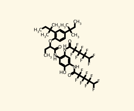 CCC(Oc1ccc(C(C)(C)CC)cc1C(C)(C)CC)C(=O)Nc1cc(O)c(NC(=O)C(F)(F)C(F)(F)C(F)(F)C(F)F)cc1NC(=O)C(F)(F)C(F)(F)C(F)(F)C(F)F